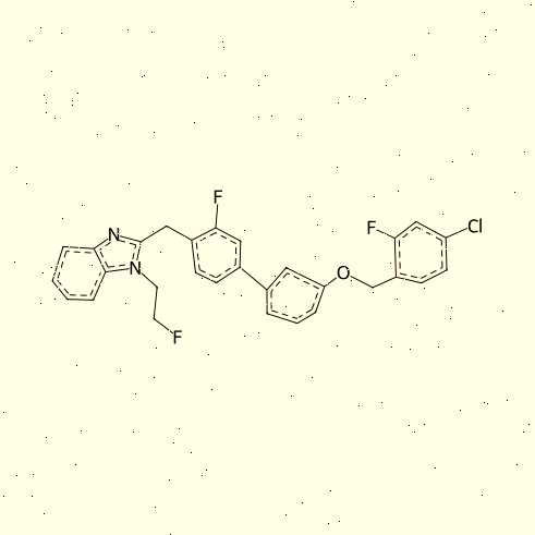 FCCn1c(Cc2ccc(-c3cccc(OCc4ccc(Cl)cc4F)c3)cc2F)nc2ccccc21